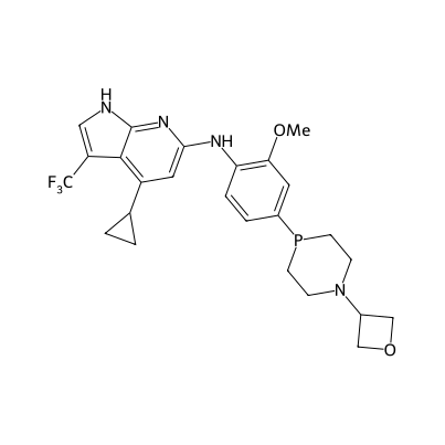 COc1cc(P2CCN(C3COC3)CC2)ccc1Nc1cc(C2CC2)c2c(C(F)(F)F)c[nH]c2n1